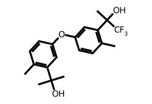 Cc1ccc(Oc2ccc(C)c(C(C)(O)C(F)(F)F)c2)cc1C(C)(C)O